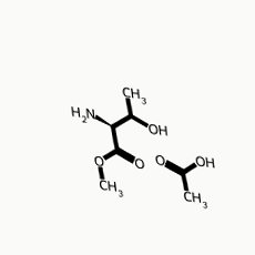 CC(=O)O.COC(=O)[C@@H](N)C(C)O